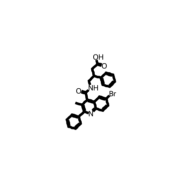 Cc1c(-c2ccccc2)nc2ccc(Br)cc2c1C(=O)NCC(CC(=O)O)c1ccccc1